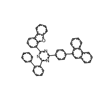 c1ccc(-c2ccccc2-c2nc(-c3ccc(-c4cc5ccccc5c5ccccc45)cc3)nc(-c3cccc4c3oc3ccccc34)n2)cc1